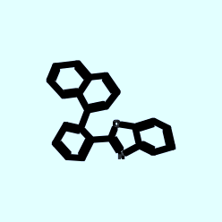 c1ccc(-c2cccc3ccccc23)c(-c2nc3ccccc3o2)c1